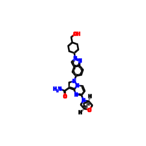 NC(=O)C1=C2N=C(N3C[C@H]4C[C@@H]3CO4)C=CN2N(c2ccc3nn(C4CCC(CO)CC4)cc3c2)C1